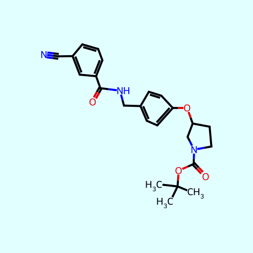 CC(C)(C)OC(=O)N1CCC(Oc2ccc(CNC(=O)c3cccc(C#N)c3)cc2)C1